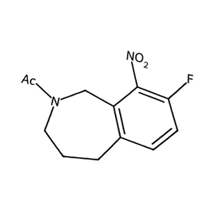 CC(=O)N1CCCc2ccc(F)c([N+](=O)[O-])c2C1